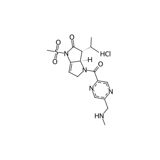 CNCc1cnc(C(=O)N2CC=C3[C@H]2[C@@H](C(C)C)C(=O)N3S(C)(=O)=O)cn1.Cl